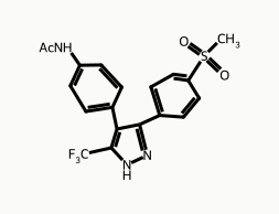 CC(=O)Nc1ccc(-c2c(-c3ccc(S(C)(=O)=O)cc3)n[nH]c2C(F)(F)F)cc1